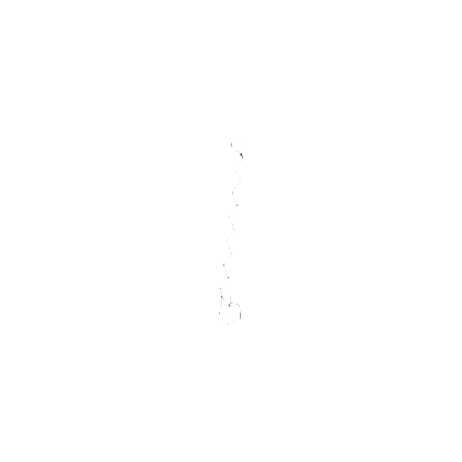 O=CCCCCCCCCCCCN1CCCC1